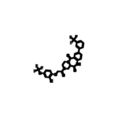 O=C1Nc2ccc(-c3cccc(C(F)(F)F)c3)cc2C(=O)N2CCN(C(=O)COc3ccc(OC(F)(F)F)cc3Cl)CC12